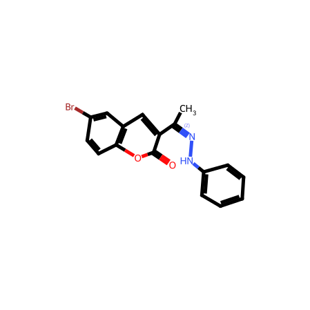 C/C(=N/Nc1ccccc1)c1cc2cc(Br)ccc2oc1=O